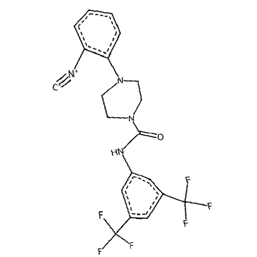 [C-]#[N+]c1ccccc1N1CCN(C(=O)Nc2cc(C(F)(F)F)cc(C(F)(F)F)c2)CC1